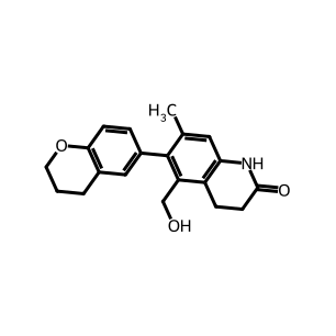 Cc1cc2c(c(CO)c1-c1ccc3c(c1)CCCO3)CCC(=O)N2